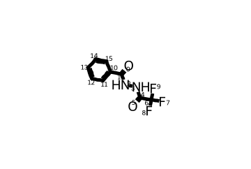 O=C(NNC(=O)C(F)(F)F)c1ccccc1